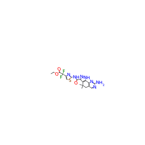 CCOC(=O)C(F)(F)c1csc(NC(=O)c2n[nH]c3c2C(C)(C)Cc2cnc(N)nc2-3)n1